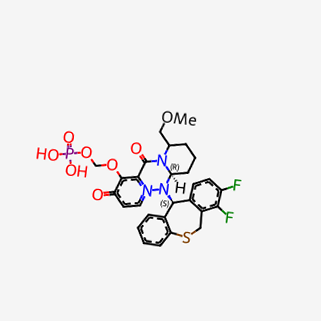 COCC1CCC[C@@H]2N1C(=O)c1c(OCOP(=O)(O)O)c(=O)ccn1N2[C@@H]1c2ccccc2SCc2c1ccc(F)c2F